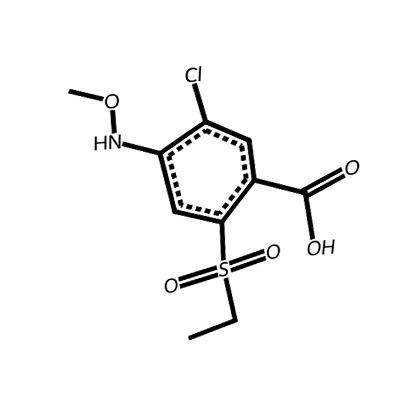 CCS(=O)(=O)c1cc(NOC)c(Cl)cc1C(=O)O